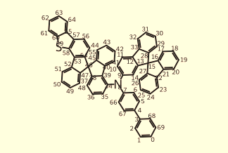 c1ccc(-c2ccc(N(c3ccc4c(c3)C3(c5ccccc5-c5ccccc53)c3ccccc3-4)c3cccc4c3-c3ccccc3C43c4ccccc4-c4c3ccc3c4sc4ccccc43)cc2)cc1